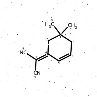 CC1(C)CC=CC(=C(C#N)C#N)C1